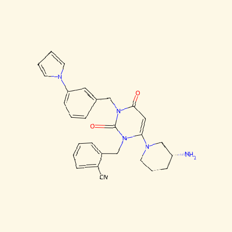 N#Cc1ccccc1Cn1c(N2CCC[C@@H](N)C2)cc(=O)n(Cc2cccc(-n3cccc3)c2)c1=O